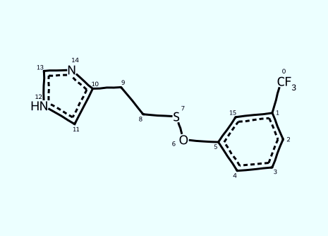 FC(F)(F)c1cccc(OSCCc2c[nH]cn2)c1